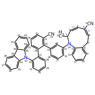 CC1/C=C\C(C#N)=C/Cc2ccccc2N1c1cccc(-c2c(C#N)cccc2-c2ccccc2-n2c3ccccc3c3ccccc32)c1